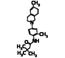 Cc1ccc2c(c1)CCN(c1ccc(NC(=O)CC(C)(C)C)c(C)c1)C2